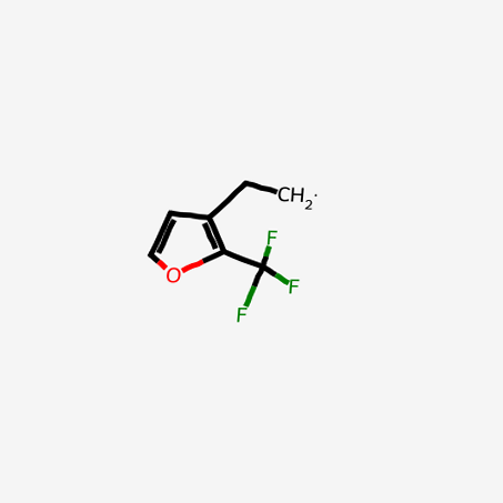 [CH2]Cc1ccoc1C(F)(F)F